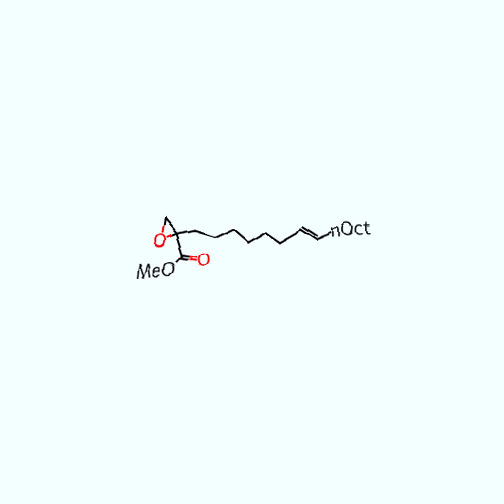 CCCCCCCC/C=C/CCCCCCC1(C(=O)OC)CO1